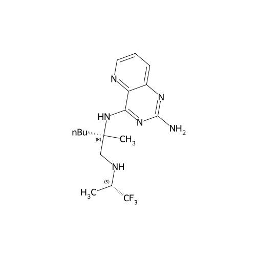 CCCC[C@](C)(CN[C@@H](C)C(F)(F)F)Nc1nc(N)nc2cccnc12